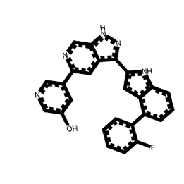 Oc1cncc(-c2cc3c(-c4cc5c(-c6ccccc6F)cccc5[nH]4)n[nH]c3cn2)c1